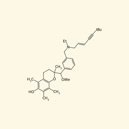 CCN(CC=CC#CC(C)(C)C)Cc1cccc(C(OC)C2(C)CCc3c(C)c(O)c(C)c(C)c3O2)c1